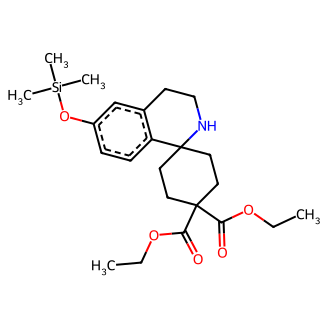 CCOC(=O)C1(C(=O)OCC)CCC2(CC1)NCCc1cc(O[Si](C)(C)C)ccc12